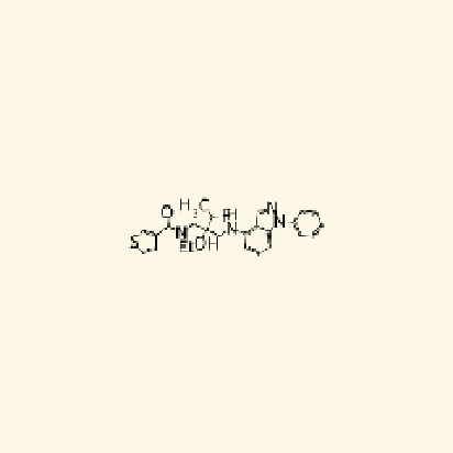 CCN(CC(O)(CNc1cccc2c1cnn2-c1ccccc1)C(C)F)C(=O)c1ccsc1